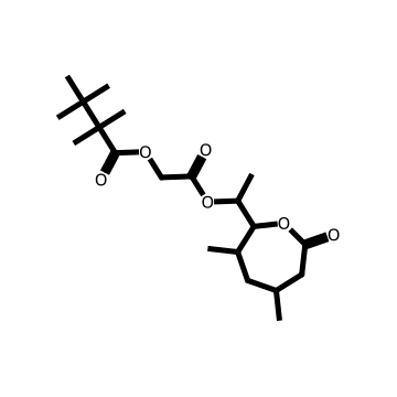 CC1CC(=O)OC(C(C)OC(=O)COC(=O)C(C)(C)C(C)(C)C)C(C)C1